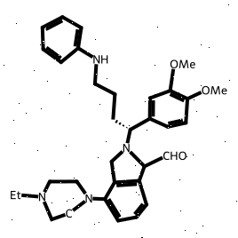 CCN1CCN(c2cccc3c2CN([C@H](CCCNc2ccccc2)c2ccc(OC)c(OC)c2)C3C=O)CC1